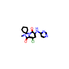 CN1C(=O)c2c(Cl)cc(Nc3ccncn3)c(=O)n2C12CCCCC2